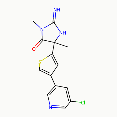 CN1C(=N)NC(C)(c2cc(-c3cncc(Cl)c3)cs2)C1=O